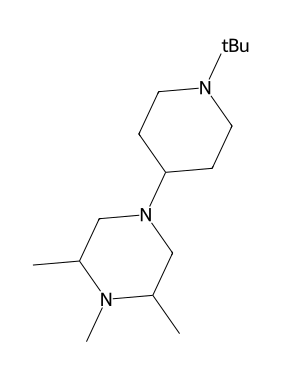 CC1CN(C2CCN(C(C)(C)C)CC2)CC(C)N1C